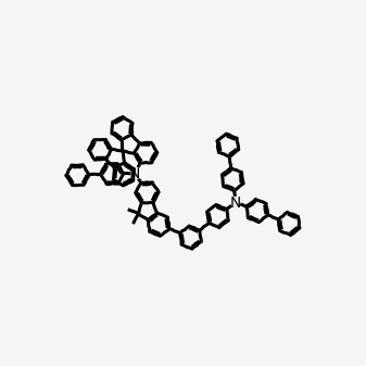 CC1(C)c2ccc(-c3cccc(-c4ccc(N(c5ccc(-c6ccccc6)cc5)c5ccc(-c6ccccc6)cc5)cc4)c3)cc2-c2ccc(N(c3ccc(-c4ccccc4)cc3)c3cccc4c3C3(c5ccccc5-c5ccccc53)c3ccccc3-4)cc21